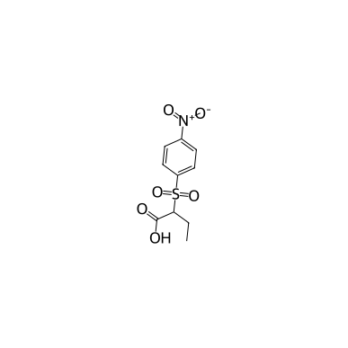 CCC(C(=O)O)S(=O)(=O)c1ccc([N+](=O)[O-])cc1